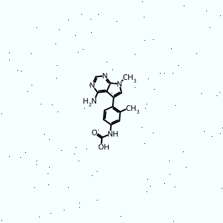 Cc1cc(NC(=O)O)ccc1-c1cn(C)c2ncnc(N)c12